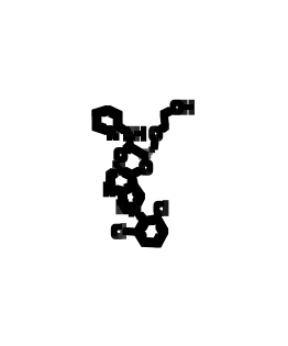 O=C(Nc1ccccn1)[C@H](COCCO)Oc1ncnc2nn(-c3c(Cl)cccc3Cl)cc12